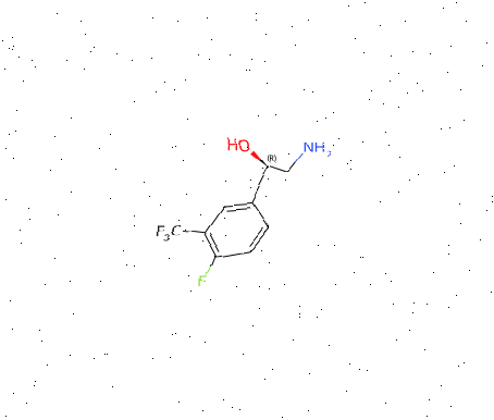 NC[C@H](O)c1ccc(F)c(C(F)(F)F)c1